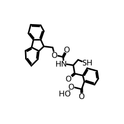 O=C(NC(CS)C(=O)c1ccccc1C(=O)OO)OCC1c2ccccc2-c2ccccc21